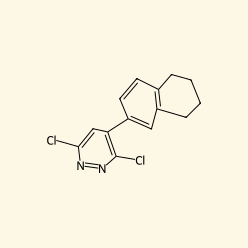 Clc1cc(-c2ccc3c(c2)CCCC3)c(Cl)nn1